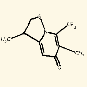 Cc1c(C(F)(F)F)n2c(cc1=O)C(C)CS2